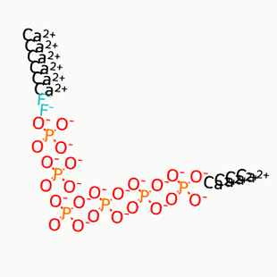 O=P([O-])([O-])[O-].O=P([O-])([O-])[O-].O=P([O-])([O-])[O-].O=P([O-])([O-])[O-].O=P([O-])([O-])[O-].O=P([O-])([O-])[O-].[Ca+2].[Ca+2].[Ca+2].[Ca+2].[Ca+2].[Ca+2].[Ca+2].[Ca+2].[Ca+2].[Ca+2].[F-].[F-]